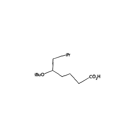 CC(C)COC(CCCC(=O)O)CC(C)C